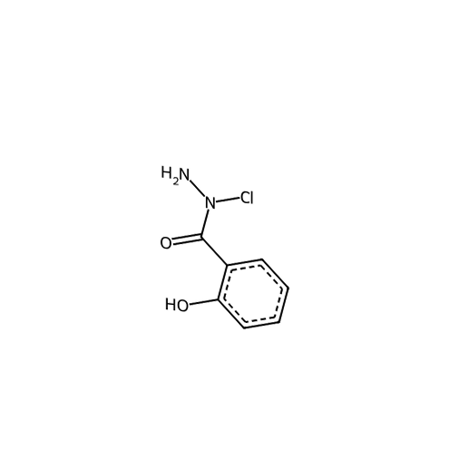 NN(Cl)C(=O)c1ccccc1O